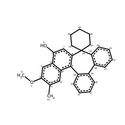 COc1cc2c(O)cc3c(c2cc1C)-c1ccccc1-c1ccccc1C31CCCCC1